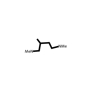 CNCCC(C)CNC